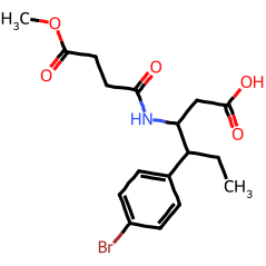 CCC(c1ccc(Br)cc1)C(CC(=O)O)NC(=O)CCC(=O)OC